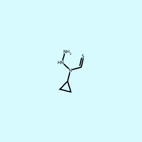 NNN(C=S)C1CC1